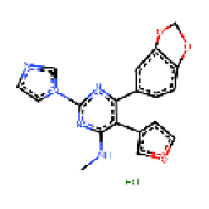 CNc1nc(-n2ccnc2)nc(-c2ccc3c(c2)OCO3)c1-c1ccoc1.Cl